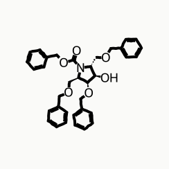 O=C(OCc1ccccc1)N1[C@H](COCc2ccccc2)[C@@H](O)[C@H](OCc2ccccc2)[C@H]1COCc1ccccc1